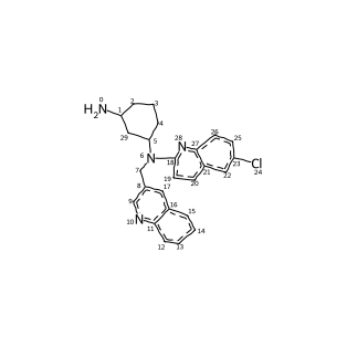 NC1CCCC(N(Cc2cnc3ccccc3c2)c2ccc3cc(Cl)ccc3n2)C1